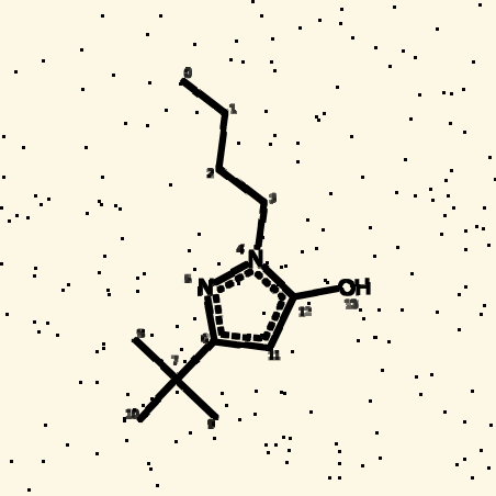 CCCCn1nc(C(C)(C)C)cc1O